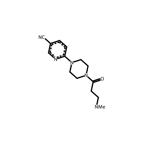 CNCCC(=O)N1CCN(c2ccc(C#N)cn2)CC1